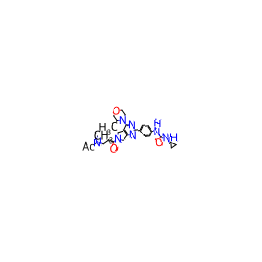 CC(=O)N(C)CCC(=O)N1Cc2nc(-c3ccc(NC(=O)NC4CC4)cc3)nc(N3CCOC[C@@H]3C)c2C1